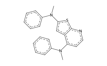 CN(c1ccccc1)c1cc2c(N(C)c3ccccc3)ccnc2s1